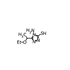 CCOC(C)c1nnc(S)n1N